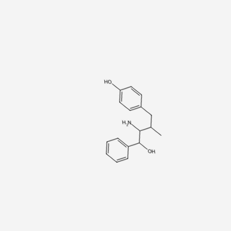 CC(Cc1ccc(O)cc1)C(N)C(O)c1ccccc1